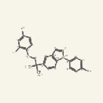 OC(COc1ccc(F)cc1F)(c1ccc2c(cnn2-c2ccc(F)cc2)c1)C(F)(F)F